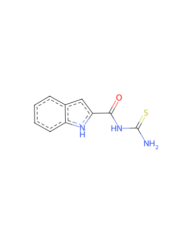 NC(=S)NC(=O)c1cc2ccccc2[nH]1